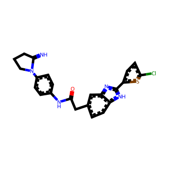 N=C1CCCN1c1ccc(NC(=O)Cc2ccc3[nH]c(-c4ccc(Cl)s4)nc3c2)cc1